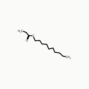 C[CH]C(=O)OCCCCCCCCCC